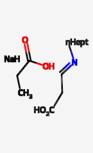 CCC(=O)O.CCCCCCCN=CCC(=O)O.[NaH]